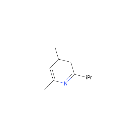 CC1=CC(C)CC(C(C)C)=N1